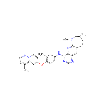 C/C=N\N1C=CC(Oc2ccc(Nc3ncnc4cc5c(nc34)N(CCCC)CC(C)CC5)cc2C)=C/C1=C\C